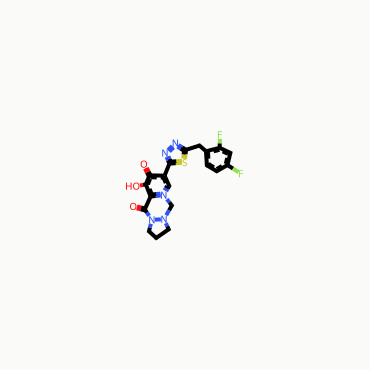 O=C1c2c(O)c(=O)c(-c3nnc(Cc4ccc(F)cc4F)s3)cn2CN2CCCN12